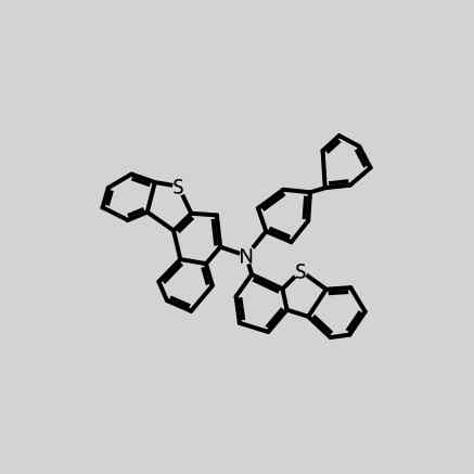 c1ccc(-c2ccc(N(c3cc4sc5ccccc5c4c4ccccc34)c3cccc4c3sc3ccccc34)cc2)cc1